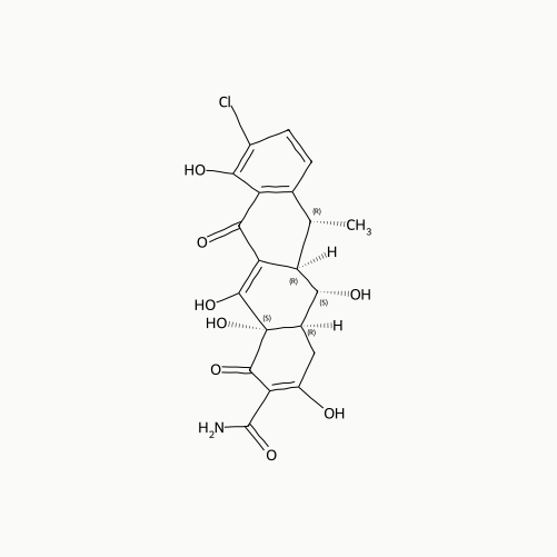 C[C@H]1c2ccc(Cl)c(O)c2C(=O)C2=C(O)[C@]3(O)C(=O)C(C(N)=O)=C(O)C[C@@H]3[C@@H](O)[C@@H]21